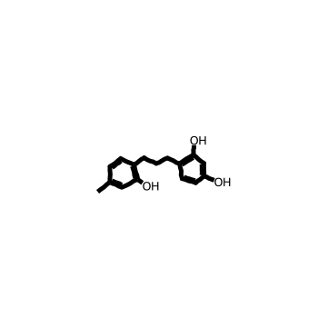 Cc1ccc(CCCc2ccc(O)cc2O)c(O)c1